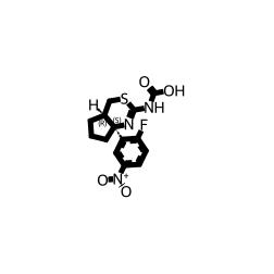 O=C(O)NC1=N[C@@]2(c3cc([N+](=O)[O-])ccc3F)CCC[C@H]2CS1